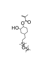 C=C(C)C(=O)OC1CCC(CC[Si](C)(C)O[Si](C)(C)C)CC1O